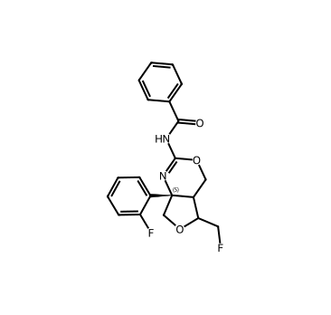 O=C(NC1=N[C@@]2(c3ccccc3F)COC(CF)C2CO1)c1ccccc1